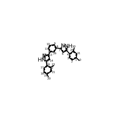 Cc1ccc(-c2cc(-c3cccc(-c4cc(-c5ccc(C)cc5C)[nH]n4)c3)n[nH]2)c(C)c1